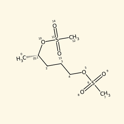 C[C@@H](CCCOS(C)(=O)=O)OS(C)(=O)=O